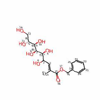 CCC(=CC(O)[C@H](O)[C@@H](O)[C@H](O)[C@H](O)CO)C(=O)OCc1ccccc1